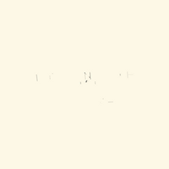 CCCCCCCCN(CCCCCCCC)C(=O)OCCCCC